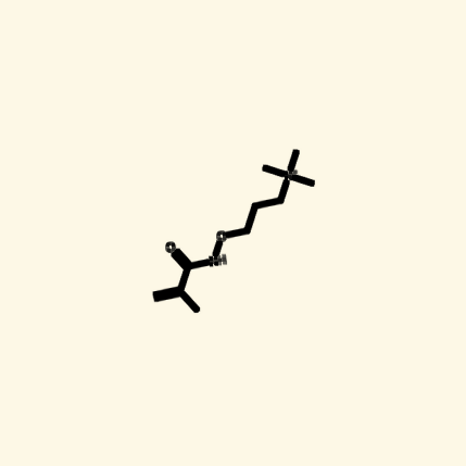 C=C(C)C(=O)NOCCC[N+](C)(C)C